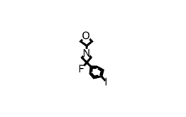 FC1(c2ccc(I)cc2)CN(C2COC2)C1